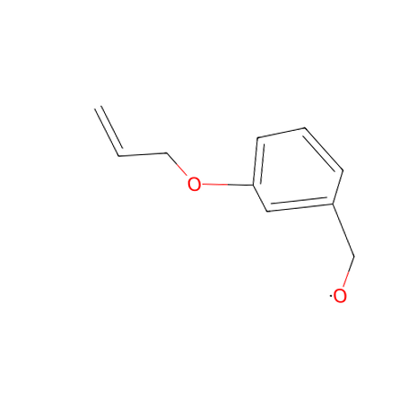 C=CCOc1cccc(C[O])c1